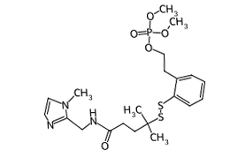 COP(=O)(OC)OCCc1ccccc1SSC(C)(C)CCC(=O)NCc1nccn1C